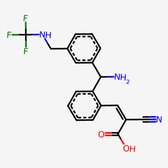 N#CC(=Cc1ccccc1C(N)c1cccc(CNC(F)(F)F)c1)C(=O)O